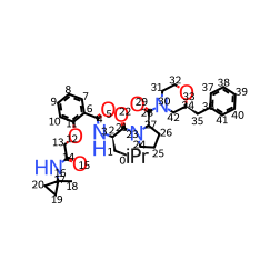 CC(C)C[C@@H](NC(=O)c1ccccc1OCC(=O)NC1(C)CC1)C(=O)N1CCC[C@@H]1C(=O)N1CCO[C@@H](Cc2ccccc2)C1